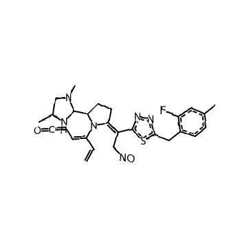 C=C/C(=C/C=C=O)N1/C(=C(\CN=O)c2nnc(Cc3ccc(C)cc3F)s2)CCC1C1NC(C)CN1C